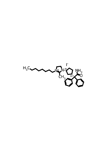 CCCCCCCC[N+]1=C(C)N([C@@H]2CC[C@H](C(C(N)=O)(c3ccccc3)c3ccccc3)C2)CC1.[I-]